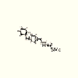 CSC(=S)NCCCN1CCN(Cc2ccccc2)CC1